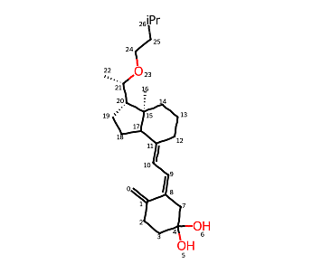 C=C1CCC(O)(O)C/C1=C/C=C1CCC[C@@]2(C)C1CC[C@@H]2[C@H](C)OCCC(C)C